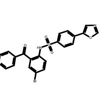 O=C(c1ccncc1)c1cc(Br)ccc1NS(=O)(=O)c1ccc(-c2cnco2)cc1